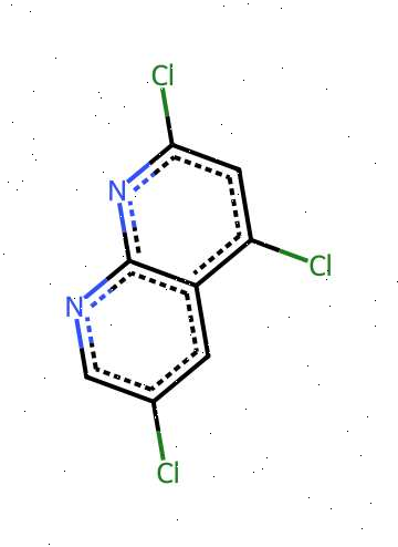 Clc1cnc2nc(Cl)cc(Cl)c2c1